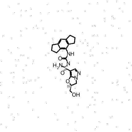 NS(=O)(=NC(=O)Nc1c2c(cc3c1CCC3)CCC2)c1cnn2c1O[C@H](CO)C2